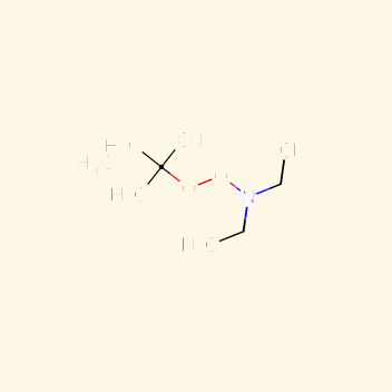 C.CCN(CC)OOC(C)(C)C